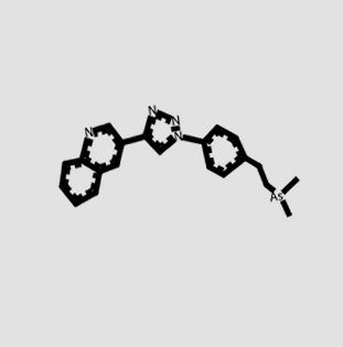 C[As](C)CCc1ccc(-n2cc(-c3cnc4ccccc4c3)nn2)cc1